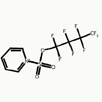 O=S(=O)(OC(F)(F)C(F)(F)C(F)(F)C(F)(F)F)[n+]1ccccc1